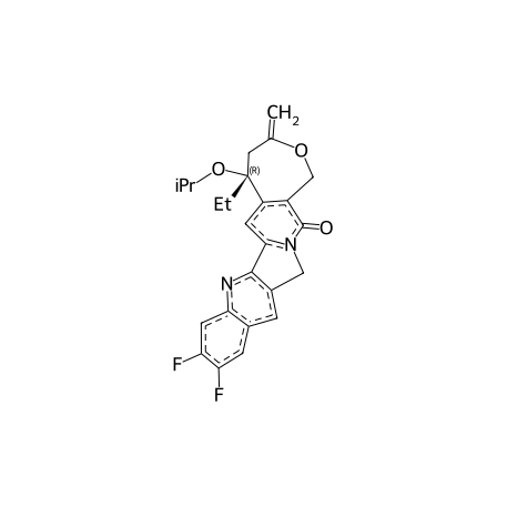 C=C1C[C@@](CC)(OC(C)C)c2cc3n(c(=O)c2CO1)Cc1cc2cc(F)c(F)cc2nc1-3